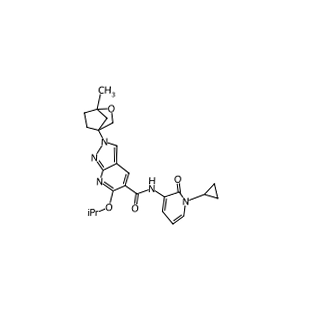 CC(C)Oc1nc2nn(C34CCC(C)(C3)OC4)cc2cc1C(=O)Nc1cccn(C2CC2)c1=O